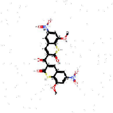 COc1cc([N+](=O)[O-])cc2cc(C(=O)c3cc4cc([N+](=O)[O-])cc(OC)c4sc3=O)c(=O)sc12